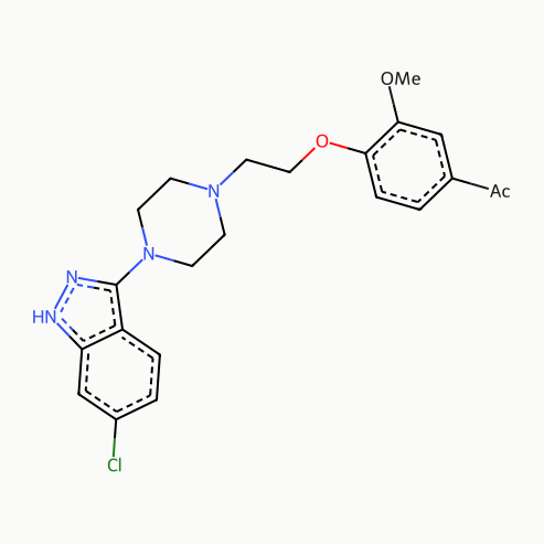 COc1cc(C(C)=O)ccc1OCCN1CCN(c2n[nH]c3cc(Cl)ccc23)CC1